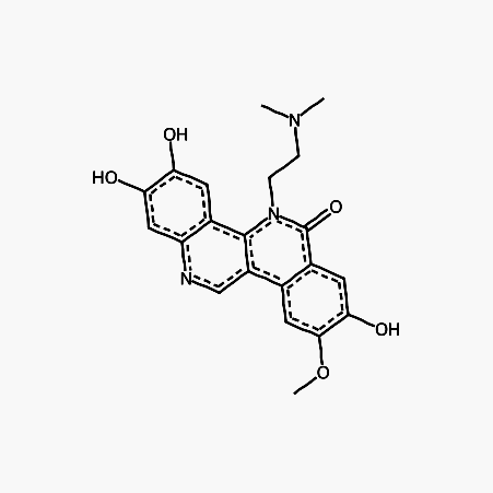 COc1cc2c(cc1O)c(=O)n(CCN(C)C)c1c3cc(O)c(O)cc3ncc21